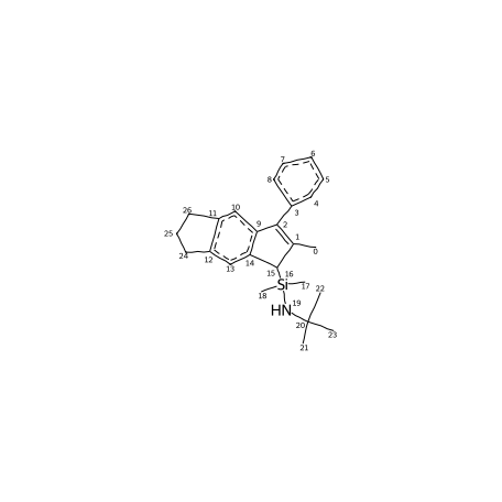 CC1=C(c2ccccc2)c2cc3c(cc2C1[Si](C)(C)NC(C)(C)C)CCC3